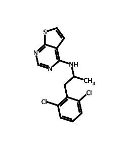 CC(Cc1c(Cl)cccc1Cl)Nc1ncnc2sccc12